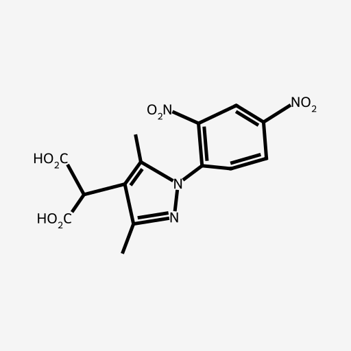 Cc1nn(-c2ccc([N+](=O)[O-])cc2[N+](=O)[O-])c(C)c1C(C(=O)O)C(=O)O